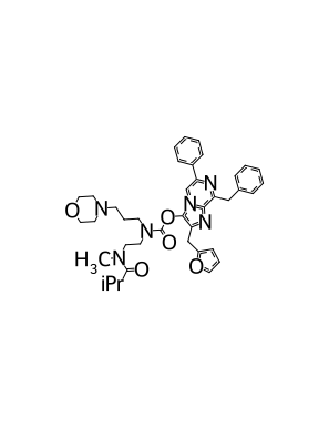 CC(C)C(=O)N(C)CCN(CCCN1CCOCC1)C(=O)Oc1c(Cc2ccco2)nc2c(Cc3ccccc3)nc(-c3ccccc3)cn12